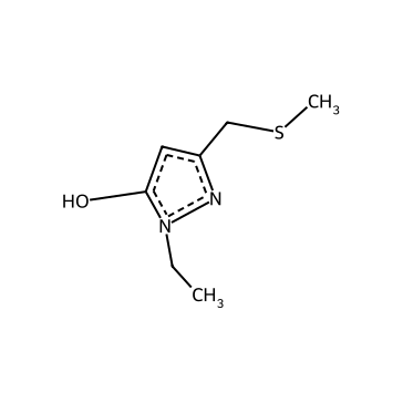 CCn1nc(CSC)cc1O